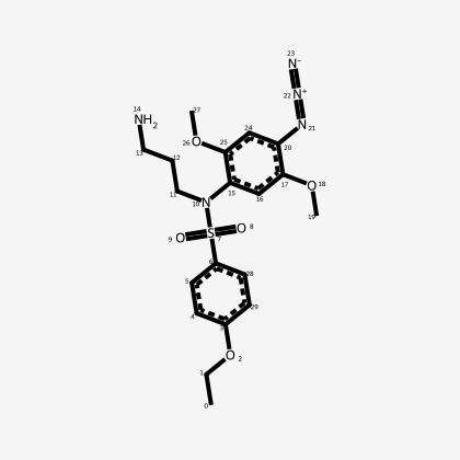 CCOc1ccc(S(=O)(=O)N(CCCN)c2cc(OC)c(N=[N+]=[N-])cc2OC)cc1